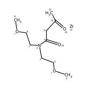 COCCN(CCOC)C(=O)CC(C)=O.[Zr]